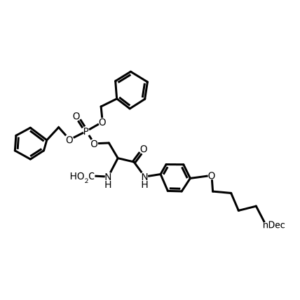 CCCCCCCCCCCCCCOc1ccc(NC(=O)C(COP(=O)(OCc2ccccc2)OCc2ccccc2)NC(=O)O)cc1